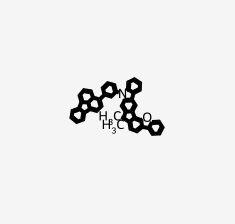 CC1(C)c2cc3c(cc2-c2c1ccc1c2oc2ccccc21)c1ccccc1n3-c1cccc(C2=CC=C3c4ccccc4C4=CC=CC2C43)c1